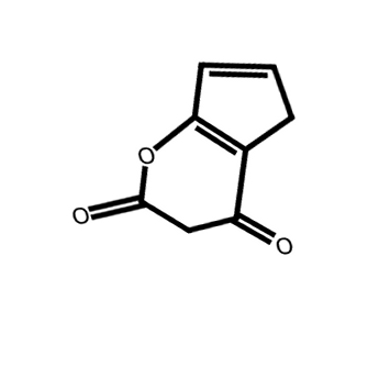 O=C1CC(=O)C2=C(C=CC2)O1